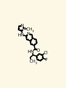 CCC(NC(=O)c1ccc2cnc(Nc3ccnn3C)cc2c1)c1ccc(F)c(Cl)c1